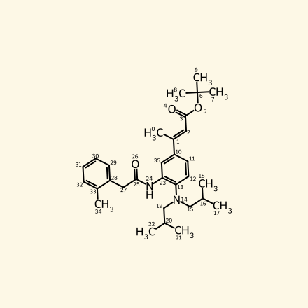 C/C(=C\C(=O)OC(C)(C)C)c1ccc(N(CC(C)C)CC(C)C)c(NC(=O)Cc2ccccc2C)c1